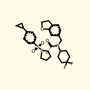 O=C([C@@H]1CCCN1S(=O)(=O)c1ccc(C2CC2)cc1)N(Cc1ccc2c(c1)OCC2)C1CCC(F)(F)CC1